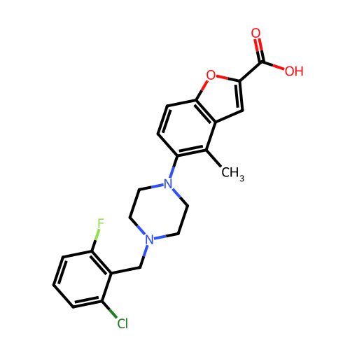 Cc1c(N2CCN(Cc3c(F)cccc3Cl)CC2)ccc2oc(C(=O)O)cc12